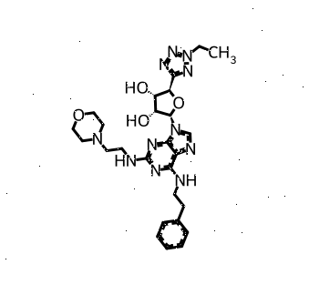 CCn1nnc([C@H]2O[C@@H](n3cnc4c(NCCc5ccccc5)nc(NCCN5CCOCC5)nc43)[C@H](O)[C@@H]2O)n1